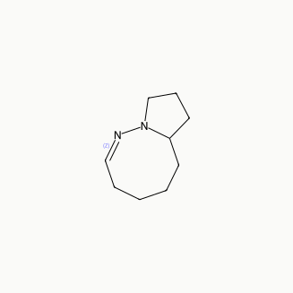 C1=N\N2CCCC2CCCC/1